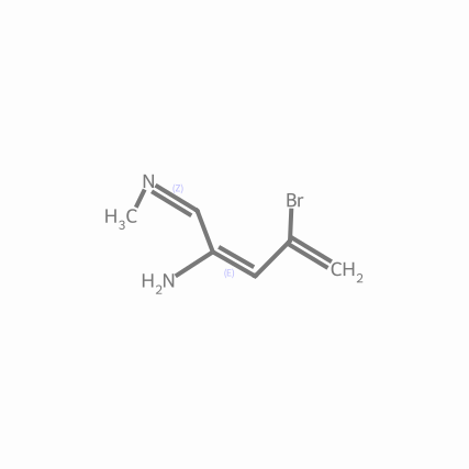 C=C(Br)/C=C(N)\C=N/C